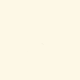 COc1ccc(C2CCc3cc4c(cc3C2NC=O)OCO4)cc1OC